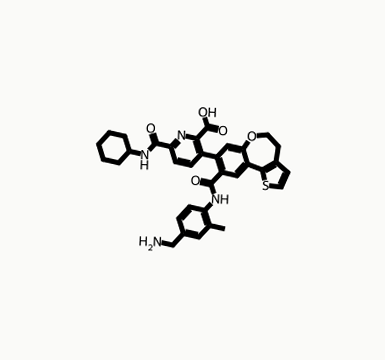 Cc1cc(CN)ccc1NC(=O)c1cc2c(cc1-c1ccc(C(=O)NC3CCCCC3)nc1C(=O)O)OCCc1ccsc1-2